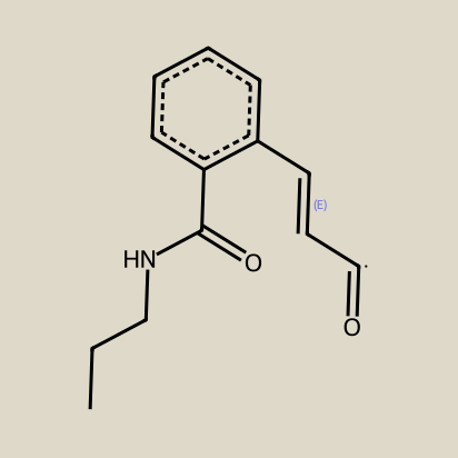 CCCNC(=O)c1ccccc1/C=C/[C]=O